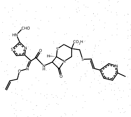 C=CCON=C(C(=O)NC1C(=O)N2CC(CSC=Cc3ccc(C)nc3)(C(=O)O)CS[C@H]12)c1csc(NC=O)n1